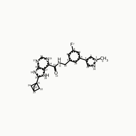 Cn1cc(-c2cc(F)cc(CNC(=O)c3ncnc4nc(C56CC(C5)C6)[nH]c34)c2)cn1